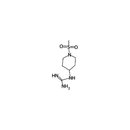 CS(=O)(=O)N1CCC(NC(=N)N)CC1